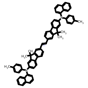 Cc1ccc(N(c2ccc3c(c2)C(C)(C)c2cc(/C=C/c4ccc5c(c4)C(C)(C)c4cc(N(c6ccc(C)cc6)c6cccc7ccccc67)ccc4-5)ccc2-3)c2cccc3ccccc23)cc1